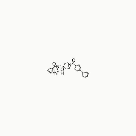 O=C(c1ccc(-c2ccccc2)cc1)N1CCC(O)(Cn2cnn3cccc3c2=O)CC1